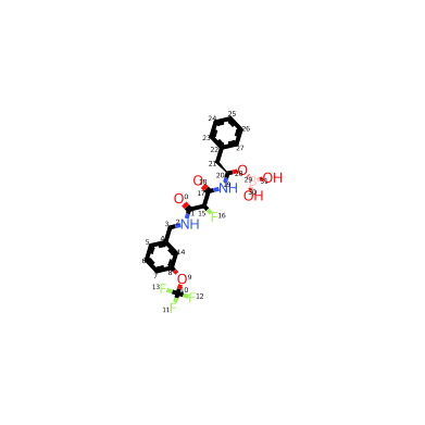 O=C(NCc1cccc(OC(F)(F)F)c1)C(F)C(=O)N[C@@H](Cc1ccccc1)OB(O)O